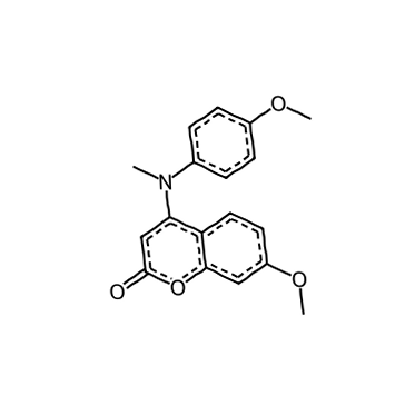 COc1ccc(N(C)c2cc(=O)oc3cc(OC)ccc23)cc1